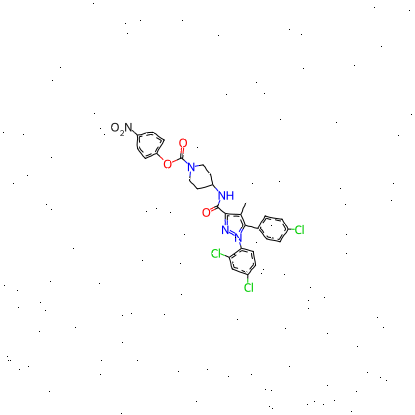 Cc1c(C(=O)NC2CCN(C(=O)Oc3ccc([N+](=O)[O-])cc3)CC2)nn(-c2ccc(Cl)cc2Cl)c1-c1ccc(Cl)cc1